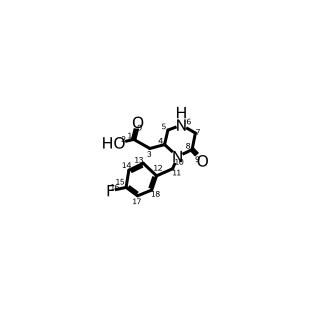 O=C(O)CC1CNCC(=O)N1Cc1ccc(F)cc1